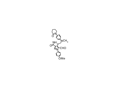 COc1ccc(-n2nc(C(N)=O)c(CCN(C)c3ccc(N4CCCCC4=O)cc3)c2C=O)cc1